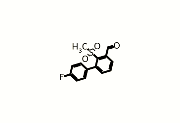 CS(=O)(=O)c1c(C=O)cccc1-c1ccc(F)cc1